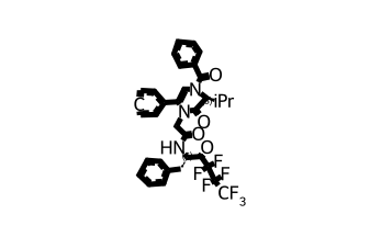 CC(C)[C@H]1C(=O)N(CC(=O)N[C@@H](Cc2ccccc2)C(=O)C(F)(F)C(F)(F)C(F)(F)F)C(c2ccccc2)=CN1C(=O)c1ccccc1